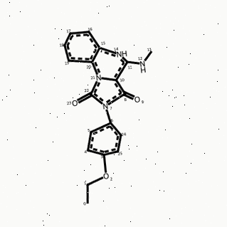 CCOc1ccc(-n2c(=O)c3c(NC)[nH]c4ccccc4n-3c2=O)cc1